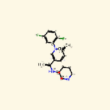 C=C/C=C\C(=C/N(C)c1cc(F)ccc1F)C(=C)NC1CN2CCC1CC2